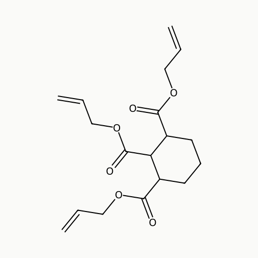 C=CCOC(=O)C1CCCC(C(=O)OCC=C)C1C(=O)OCC=C